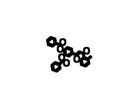 Cc1cccc2oc(-c3ccc(OC(=O)c4ccccc4)c(OC(=O)c4ccccc4)c3)cc(=O)c12